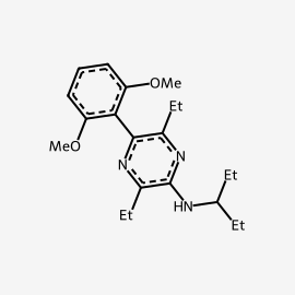 CCc1nc(-c2c(OC)cccc2OC)c(CC)nc1NC(CC)CC